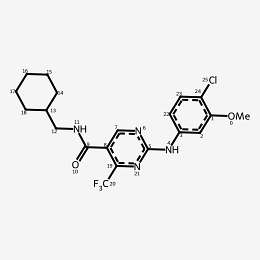 COc1cc(Nc2ncc(C(=O)NCC3CCCCC3)c(C(F)(F)F)n2)ccc1Cl